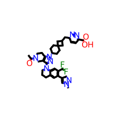 CC(=O)N1CCc2c(c(N3CCCc4cc(-c5cnn(C)c5)c(C(F)F)cc43)nn2C2CCC3(CC2)CC(Cc2ccc(C(=O)O)nn2)C3)C1